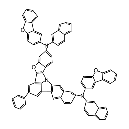 c1ccc(-c2cc3c4cc5ccc(N(c6ccc7ccccc7c6)c6ccc7oc8ccccc8c7c6)cc5cc4n4c3c(c2)c2oc3cc(N(c5ccc6ccccc6c5)c5ccc6oc7ccccc7c6c5)ccc3c24)cc1